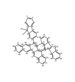 CC1(C)c2ccccc2-c2ccc(N3B4c5c(cc6ccccc6c5-n5c6c4cccc6c4sc6ccccc6c45)-c4cc5ccccc5cc43)cc21